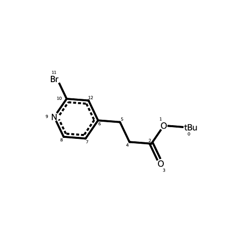 CC(C)(C)OC(=O)CCc1ccnc(Br)c1